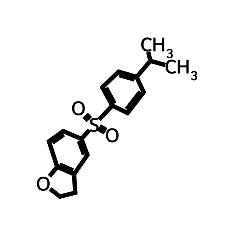 CC(C)c1ccc(S(=O)(=O)c2ccc3c(c2)CCO3)cc1